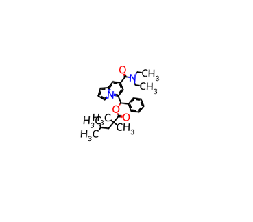 CCN(CC)C(=O)c1cc(C(OC(=O)C(C)(C)CC(C)C)c2ccccc2)n2cccc2c1